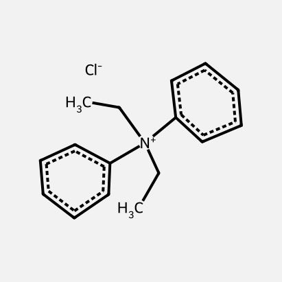 CC[N+](CC)(c1ccccc1)c1ccccc1.[Cl-]